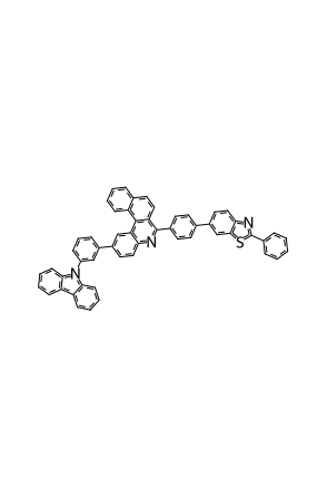 c1ccc(-c2nc3ccc(-c4ccc(-c5nc6ccc(-c7cccc(-n8c9ccccc9c9ccccc98)c7)cc6c6c5ccc5ccccc56)cc4)cc3s2)cc1